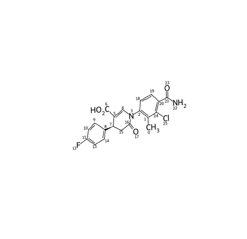 Cc1c(N2C=C(C(=O)O)[C@H](c3ccc(F)cc3)CC2=O)ccc(C(N)=O)c1Cl